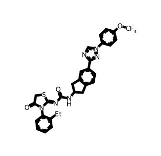 CCc1ccccc1N1C(=O)CS/C1=N\C(=O)NC1Cc2ccc(-c3ncn(-c4ccc(OC(F)(F)F)cc4)n3)cc2C1